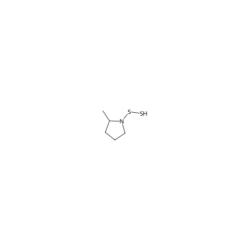 CC1CCCN1SS